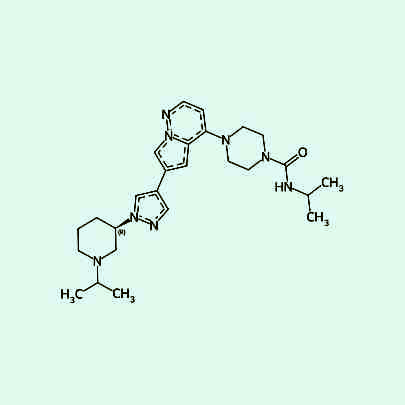 CC(C)NC(=O)N1CCN(c2ccnn3cc(-c4cnn([C@@H]5CCCN(C(C)C)C5)c4)cc23)CC1